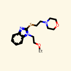 CCOCCn1c(SCCN2CCOCC2)nc2ccccc21